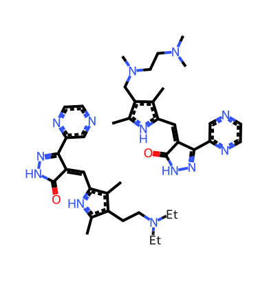 CCN(CC)CCc1c(C)[nH]c(C=C2C(=O)NN=C2c2cnccn2)c1C.Cc1[nH]c(C=C2C(=O)NN=C2c2cnccn2)c(C)c1CN(C)CCN(C)C